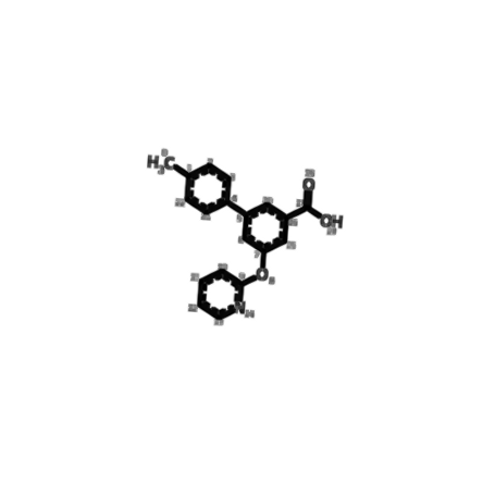 Cc1ccc(-c2cc(Oc3ccccn3)cc(C(=O)O)c2)cc1